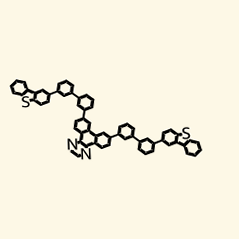 c1cc(-c2cccc(-c3ccc4c(c3)c3cc(-c5cccc(-c6cccc(-c7ccc8sc9ccccc9c8c7)c6)c5)ccc3c3nccnc43)c2)cc(-c2ccc3sc4ccccc4c3c2)c1